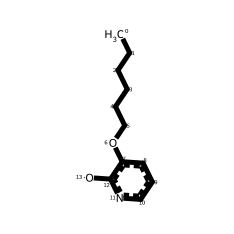 CCCCCCOc1cccnc1[O]